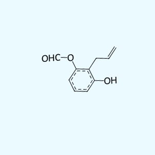 C=CCc1c(O)cccc1OC=O